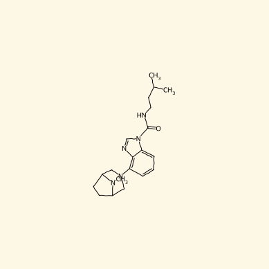 CC(C)CCNC(=O)n1cnc2c(N3CC4CCC(C3)N4C)cccc21